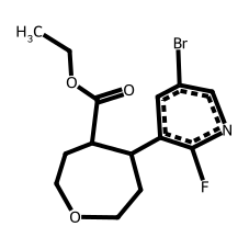 CCOC(=O)C1CCOCCC1c1cc(Br)cnc1F